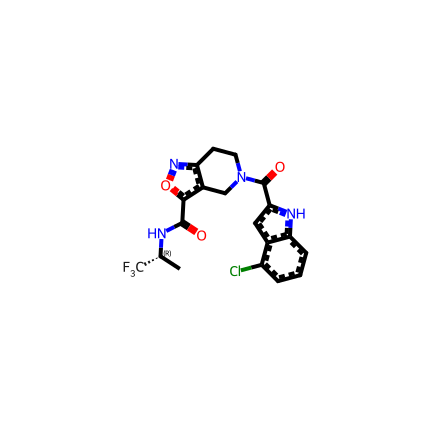 C[C@@H](NC(=O)c1onc2c1CN(C(=O)c1cc3c(Cl)cccc3[nH]1)CC2)C(F)(F)F